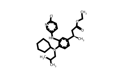 CCOC(=O)C[C@@H](C)c1ccc(N(CC(C)C)C2CCCCC2)c(Nc2ccc(Cl)nc2)c1